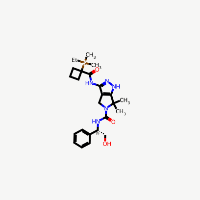 CCS(C)(C)C1(C(=O)Nc2n[nH]c3c2CN(C(=O)N[C@H](CO)c2ccccc2)C3(C)C)CCC1